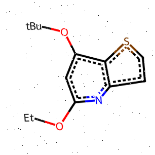 CCOc1cc(OC(C)(C)C)c2sccc2n1